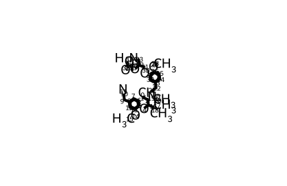 CCC(C(Oc1ccc(CC#N)cc1OC)C(C)C)N(C)CCc1ccc(OC)c(OCC(CN)O[N+](=O)[O-])c1